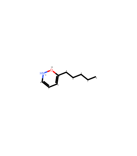 CCCCCC1=CC=CNO1